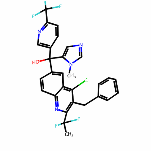 Cn1cncc1C(O)(c1ccc(C(F)(F)F)nc1)c1ccc2nc(C(C)(F)F)c(Cc3ccccc3)c(Cl)c2c1